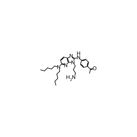 CCCCCN(CCCCC)c1ccc2nc(Nc3ccc(C(C)=O)cc3)n(CCCN)c2n1